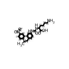 CN(Cc1ccc(NC(=O)NC(CCCCN)C(=O)O)cc1)c1ccc([N+](=O)[O-])cc1